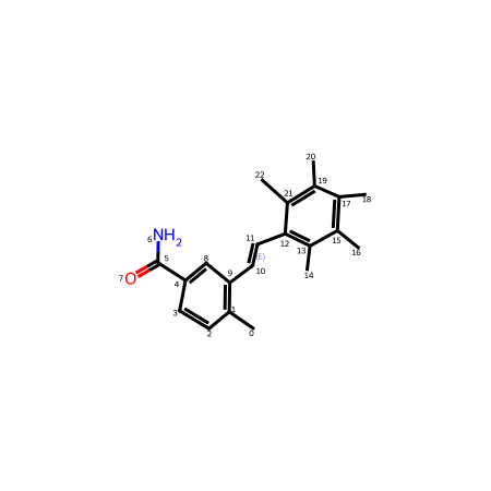 Cc1ccc(C(N)=O)cc1/C=C/c1c(C)c(C)c(C)c(C)c1C